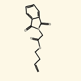 C=CCCOC(=O)CN1C(=O)c2ccccc2C1=O